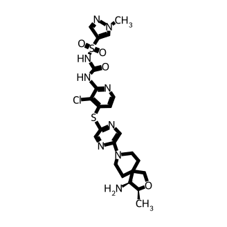 C[C@@H]1OCC2(CCN(c3cnc(Sc4ccnc(NC(=O)NS(=O)(=O)c5cnn(C)c5)c4Cl)cn3)CC2)[C@@H]1N